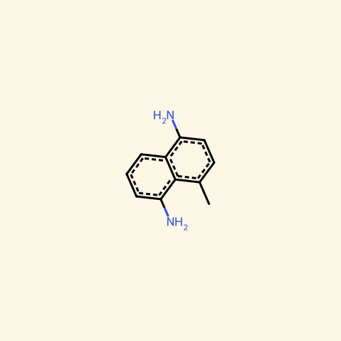 Cc1ccc(N)c2cccc(N)c12